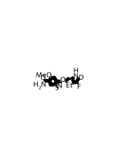 CC[C@@H]1[C@H](F)C(=O)N[C@@H]1CCOc1nsc2cc(C(N)=O)c(OC)cc12